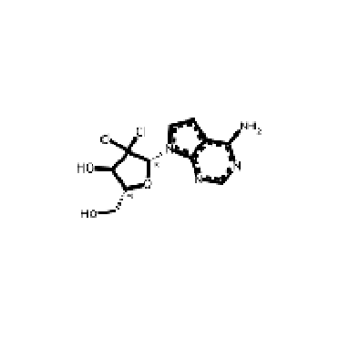 Nc1ncnc2c1ccn2[C@@H]1O[C@H](CO)C(O)C1(Cl)Cl